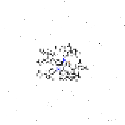 CC(C)(C)c1ccc(N2c3ccc(C(C)(C)C)cc3B3c4c2cc(-c2ccc5c(c2)C(C)(C)CCC5(C)C)cc4N(c2ccc4c(c2)C(C)(C)CCC4(C)C)c2sc4cc5c(cc4c23)C(C)(C)CCC5(C)C)cc1